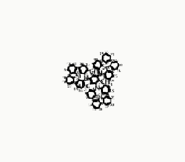 Cc1c(N2c3ccccc3[Si](c3ccccc3)(c3ccccc3)c3ccccc32)c(C)c(N2c3ccccc3[Si](c3ccccc3)(c3ccccc3)c3ccccc32)c(C)c1N1c2ccccc2[Si](c2ccccc2)(c2ccccc2)c2ccccc21